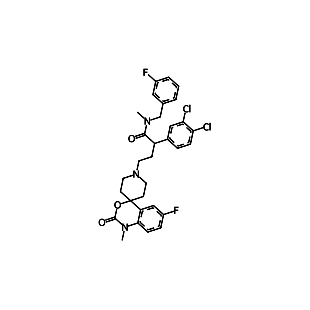 CN(Cc1cccc(F)c1)C(=O)C(CCN1CCC2(CC1)OC(=O)N(C)c1ccc(F)cc12)c1ccc(Cl)c(Cl)c1